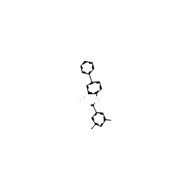 O=C(Nc1ccc(-c2ccccc2)cc1C(=O)[O-])c1cc(Cl)cc(Cl)c1.[Li+]